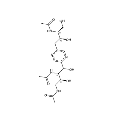 CC(=O)NC[C@H](O)[C@H](NC(C)=O)C(O)c1cnc(C[C@H](O)[C@H](CO)NC(C)=O)cn1